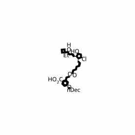 CCCCCCCCCCOc1ccc(C(=O)O)c(CCOC(=O)CCC/C=C\C[C@@H]2[C@@H](/C=C/C[C@H](O)C3(CC)CCC3)[C@H](O)C[C@H]2Cl)c1